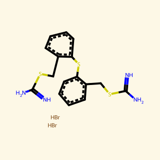 Br.Br.N=C(N)SCc1ccccc1Sc1ccccc1CSC(=N)N